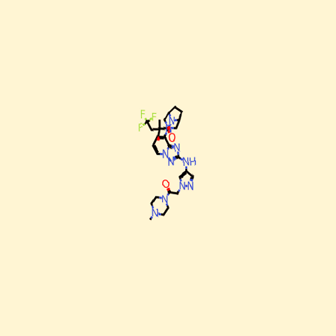 CN1CCN(C(=O)Cn2cc(Nc3nc4c(N5CC6CCC(C5)N6C(=O)C(C)(C)CC(F)(F)F)cccn4n3)cn2)CC1